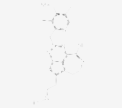 COc1c(C)cnc(Cn2nc3cc(CCNC(C)C)c4c-3c(n2)C(N)=NSC4)c1C